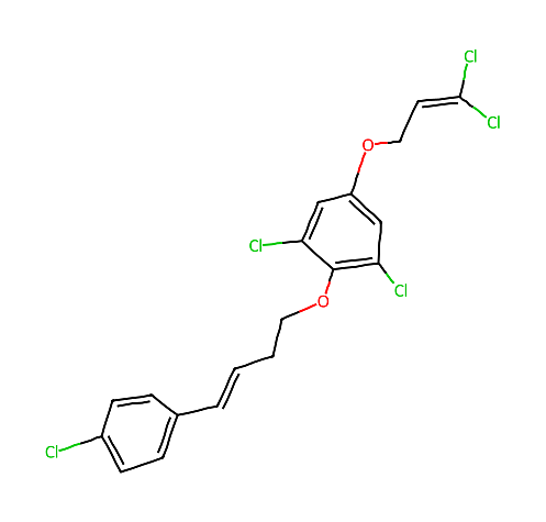 ClC(Cl)=CCOc1cc(Cl)c(OCC/C=C/c2ccc(Cl)cc2)c(Cl)c1